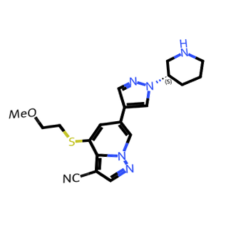 COCCSc1cc(-c2cnn([C@H]3CCCNC3)c2)cn2ncc(C#N)c12